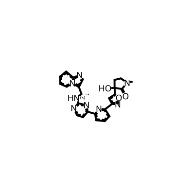 C[C@H](Nc1nccc(-c2cccc(-c3cc(C4(O)CCN(C)C4=O)on3)n2)n1)c1cnc2ccccn12